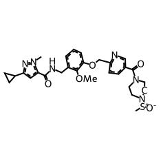 COc1c(CNC(=O)c2cc(C3CC3)nn2C)cccc1OCc1ccc(C(=O)N2CCN([S+](C)[O-])CC2)cn1